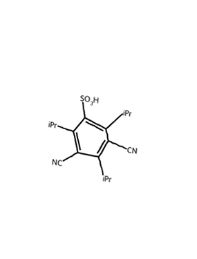 CC(C)c1c(C#N)c(C(C)C)c(S(=O)(=O)O)c(C(C)C)c1C#N